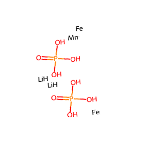 O=P(O)(O)O.O=P(O)(O)O.[Fe].[Fe].[LiH].[LiH].[Mn]